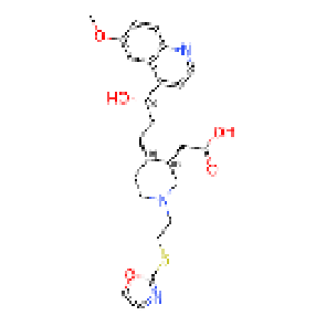 COc1ccc2nccc([C@@H](O)CC[C@@H]3CCN(CCSc4ncco4)C[C@@H]3CC(=O)O)c2c1